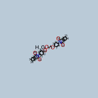 CC(OCCOc1ccc(N2C(=O)C3C4C=CC(C4)C3C2=O)cc1)Oc1ccc(N2C(=O)C3C4C=CC(C4)C3C2=O)cc1